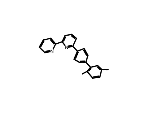 Cc1ccc(C)c(-c2ccc(-c3cccc(-c4ccccn4)n3)cc2)c1